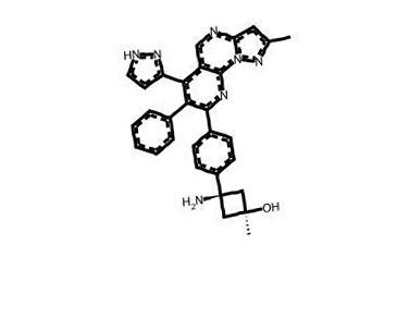 Cc1cc2ncc3c(-c4cc[nH]n4)c(-c4ccccc4)c(-c4ccc([C@]5(N)C[C@@](C)(O)C5)cc4)nc3n2n1